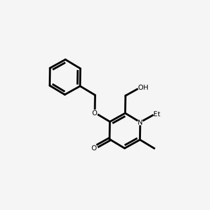 CCn1c(C)cc(=O)c(OCc2ccccc2)c1CO